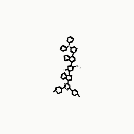 CC1=CC=C(c2nc(C3=CCC(C)C=C3)nc(-c3ccc(-c4cc(P)c(-c5ccc(-c6cccc(P(c7ccccc7)c7ccccc7)c6)c6ccccc56)cc4F)c4ccccc34)n2)CC1